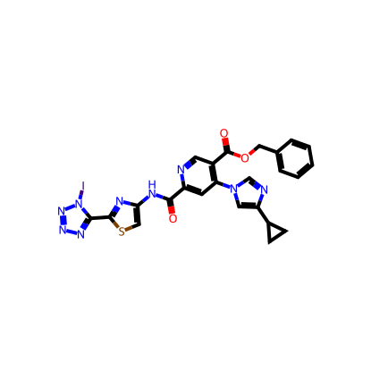 O=C(Nc1csc(-c2nnnn2I)n1)c1cc(-n2cnc(C3CC3)c2)c(C(=O)OCc2ccccc2)cn1